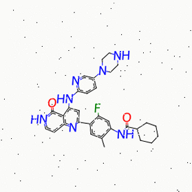 Cc1cc(-c2cc(Nc3ccc(N4CCNCC4)cn3)c3c(=O)[nH]ccc3n2)c(F)cc1NC(=O)C1CCCCC1